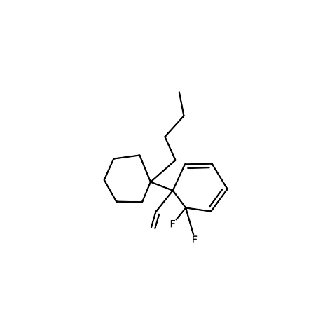 C=CC1(C2(CCCC)CCCCC2)C=CC=CC1(F)F